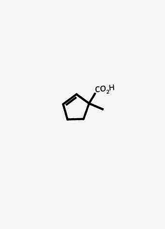 CC1(C(=O)O)C=CCC1